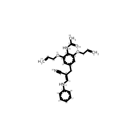 C=CCOc1cc(CC(C#N)=CNc2ccccc2)cc(OCC=C)c1NC(C)=O